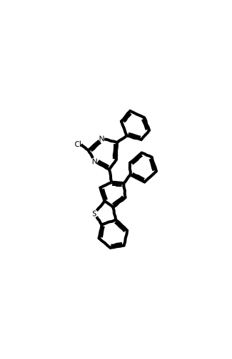 Clc1nc(-c2ccccc2)cc(-c2cc3sc4ccccc4c3cc2-c2ccccc2)n1